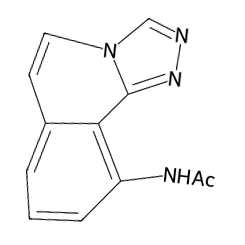 CC(=O)Nc1cccc2ccn3cnnc3c12